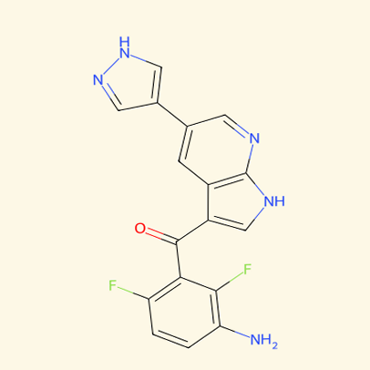 Nc1ccc(F)c(C(=O)c2c[nH]c3ncc(-c4cn[nH]c4)cc23)c1F